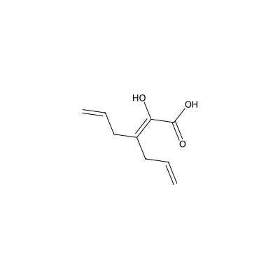 C=CCC(CC=C)=C(O)C(=O)O